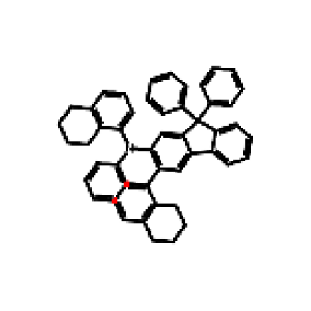 c1ccc(N(c2cc3c(cc2-c2cccc4c2CCCC4)-c2ccccc2C3(c2ccccc2)c2ccccc2)c2cccc3c2CCCC3)cc1